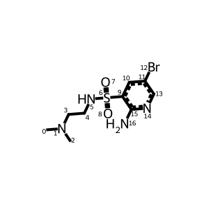 CN(C)CCNS(=O)(=O)c1cc(Br)cnc1N